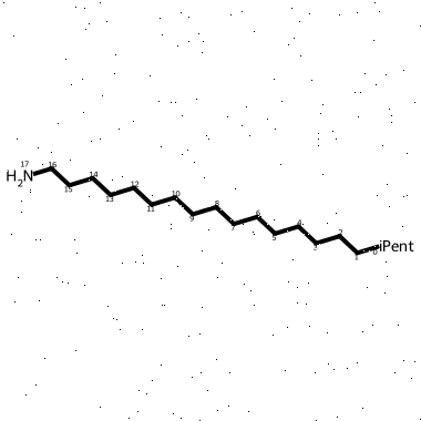 CCCC(C)CCCCCCCCCCCCCCCCN